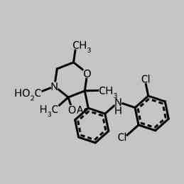 CC(=O)OC1(C)N(C(=O)O)CC(C)OC1(C)c1ccccc1Nc1c(Cl)cccc1Cl